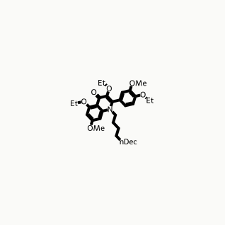 CCCCCCCCCCCCCCn1c(-c2ccc(OCC)c(OC)c2)c(OCC)c(=O)c2c(OCC)cc(OC)cc21